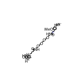 COc1cc(N=[N+]=[N-])ccc1/C=C/C(=O)NCCOCCOCCOCCOCCNC(=O)CCCC[C@@H]1SC[C@@H]2NC(=O)N[C@@H]21